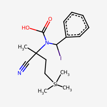 CC(C#N)(CC[Si](C)(C)C)N(C(=O)O)C(I)c1ccccc1